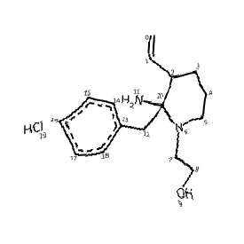 C=CC1CCCN(CCO)C1(N)Cc1ccccc1.Cl